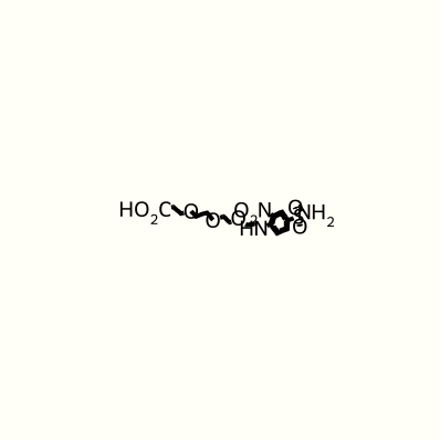 NS(=O)(=O)c1ccc(NCCOCCOCCOCCC(=O)O)c([N+](=O)[O-])c1